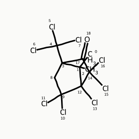 CC1(C)C2(C(Cl)(Cl)Cl)CC(Cl)(Cl)C1(Cl)C(Cl)(Cl)C2=O